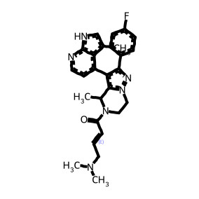 Cc1c[nH]c2nccc(-c3c(-c4ccc(F)cc4)nn4c3C(C)N(C(=O)/C=C/CN(C)C)CC4)c12